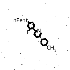 CCCCCc1ccc(-c2ccc([C@H]3CC[C@H](C)CC3)cn2)c(F)c1